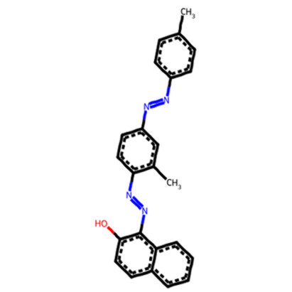 Cc1ccc(N=Nc2ccc(N=Nc3c(O)ccc4ccccc34)c(C)c2)cc1